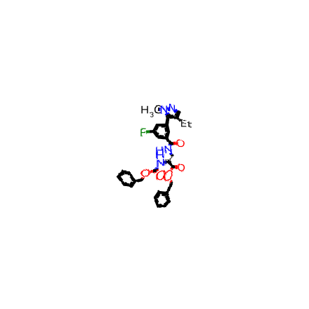 CCc1cnn(C)c1-c1cc(F)cc(C(=O)NC[C@@H](NC(=O)OCc2ccccc2)C(=O)OCc2ccccc2)c1